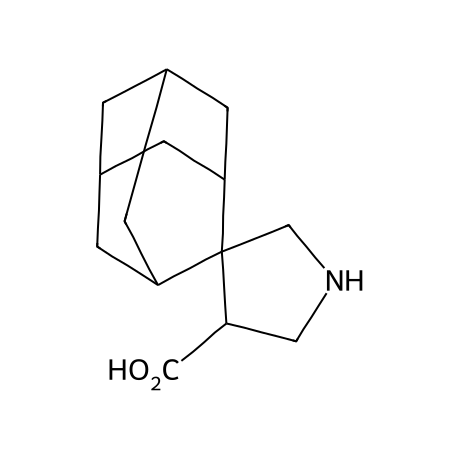 O=C(O)C1CNCC12C1CC3CC(C1)CC2C3